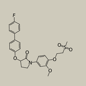 COc1cc(N2CCC(Oc3ccc(-c4ccc(F)cc4)cc3)C2=O)ccc1OCCS(C)(=O)=O